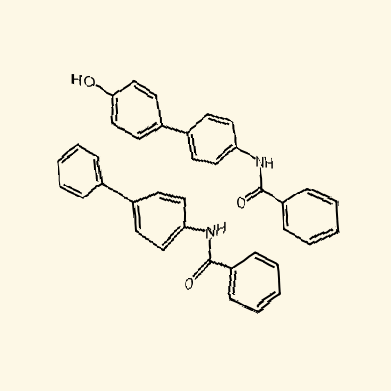 O=C(Nc1ccc(-c2ccc(O)cc2)cc1)c1ccccc1.O=C(Nc1ccc(-c2ccccc2)cc1)c1ccccc1